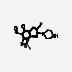 C[C@@H]1Sc2c([C]=O)c(=O)c3cc(F)c(N4CCNCC4)cc3n21